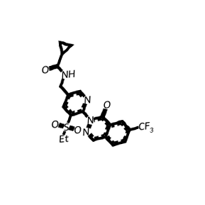 CCS(=O)(=O)c1cc(CNC(=O)C2CC2)cnc1-n1ncc2ccc(C(F)(F)F)cc2c1=O